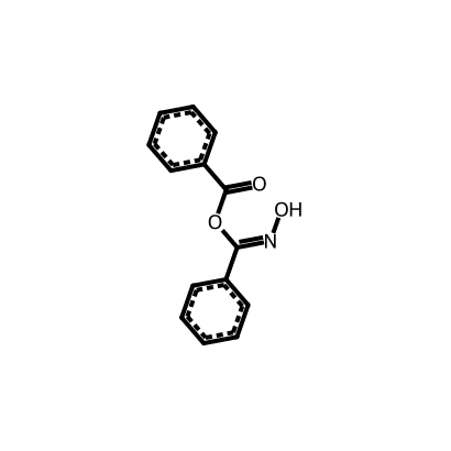 O=C(OC(=NO)c1ccccc1)c1ccccc1